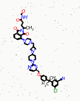 CC(CCC(=O)NC=O)N1C(=O)c2cccc(N3CCN(CC4CN(C5CCN(c6nccc(COc7ccc(C(C)(C)c8cc(Cl)cc(C#N)c8)cc7)n6)CC5)C4)CC3)c2C1=O